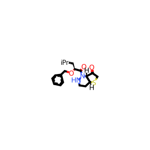 CC(C)C[C@H](OCc1ccccc1)C(=O)N1NCC[C@H]2SCC(=O)[C@H]21